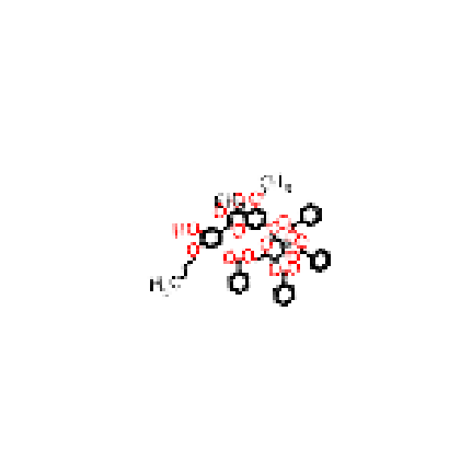 CCCCOc1ccc(-c2oc3cc(O[C@@H]4OC(COC(=O)c5ccccc5)[C@@H](OC(=O)c5ccccc5)C(OC(=O)c5ccccc5)[C@@H]4OC(=O)c4ccccc4)cc(OCC)c3c(=O)c2OC)cc1O